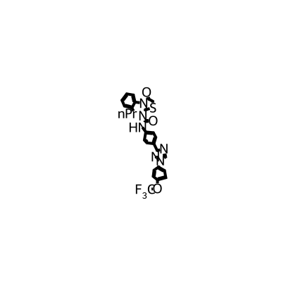 CCCc1ccccc1N1C(=O)CS/C1=N\C(=O)Nc1ccc(-c2ncn(-c3ccc(OC(F)(F)F)cc3)n2)cc1